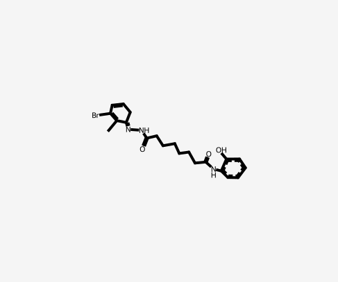 CC1=C(Br)C=CC/C1=N\NC(=O)CCCCCCC(=O)Nc1ccccc1O